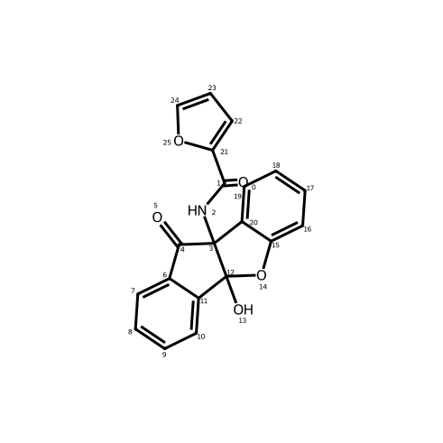 O=C(NC12C(=O)c3ccccc3C1(O)Oc1ccccc12)c1ccco1